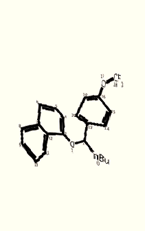 C[CH]CCC(Oc1cccc2ccccc12)c1ccc(OC(F)(F)F)cc1